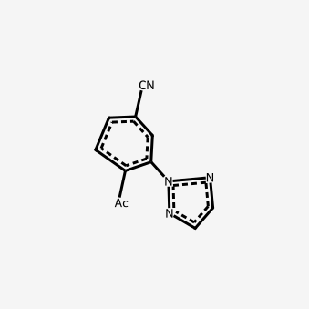 CC(=O)c1ccc(C#N)cc1-n1nccn1